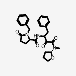 CN(C(=O)C(=O)C(Cc1ccccc1)NC(=O)C1CCC(=O)N1Cc1ccccc1)[C@H]1CCCO1